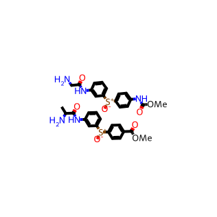 COC(=O)Nc1ccc([S+]([O-])c2cccc(NC(=O)CN)c2)cc1.COC(=O)c1ccc([S+]([O-])c2cccc(NC(=O)C(C)N)c2)cc1